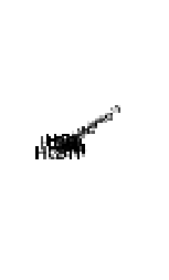 CCCCCCCCCCCCCCCCCC(=O)NC([C@H](O)[C@@H](O)[C@H](O)[C@H](O)CO)N(C)CCC